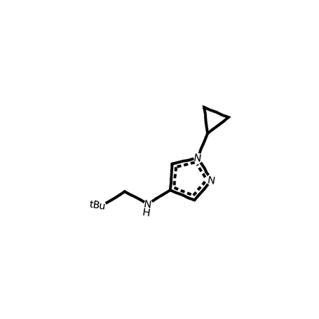 CC(C)(C)CNc1cnn(C2CC2)c1